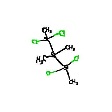 C[Si](Cl)(Cl)[Si](C)(C)[Si](C)(Cl)Cl